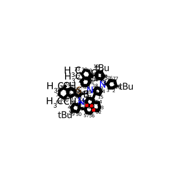 CC(C)(C)c1ccc(N(c2ccc(C(C)(C)C)cc2)c2ccc3c(c2)N(c2ccc4c(c2)C(C)(C)CCC4(C)C)B2c4sc5cc6c(cc5c4N(c4ccc(C(C)(C)C)cc4-c4ccccc4)c4cc5ccccc5c-3c42)C(C)(C)CCC6(C)C)cc1